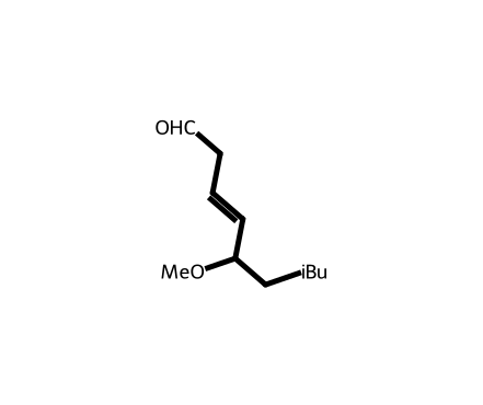 CCC(C)CC(C=CCC=O)OC